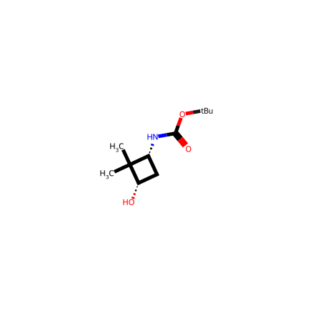 CC(C)(C)OC(=O)N[C@@H]1C[C@H](O)C1(C)C